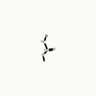 CO[13C](=O)[13CH2]Br